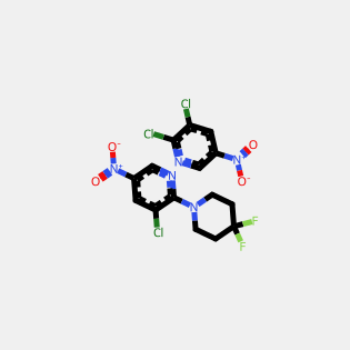 O=[N+]([O-])c1cnc(Cl)c(Cl)c1.O=[N+]([O-])c1cnc(N2CCC(F)(F)CC2)c(Cl)c1